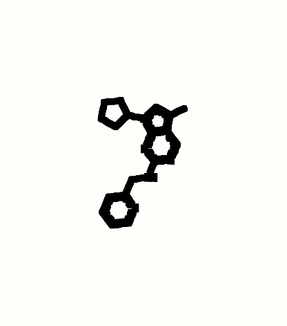 Cc1cn(C2CCCC2)c2nc(NCc3ccccn3)ncc12